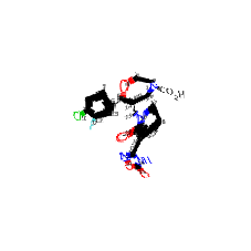 O=C(O)N1CCO[C@@H](c2ccc(Cl)c(F)c2)[C@@H](Cn2cccc(-c3noc(=O)[nH]3)c2=O)C1